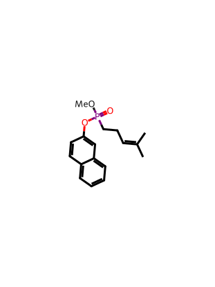 COP(=O)(CCC=C(C)C)Oc1ccc2ccccc2c1